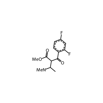 CNC(C)C(C(=O)OC)C(=O)c1ccc(F)cc1F